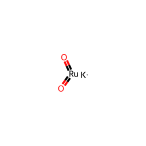 [K].[O]=[Ru]=[O]